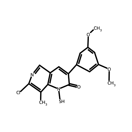 COc1cc(OC)cc(-c2cc3cnc(Cl)c(C)c3n(S)c2=O)c1